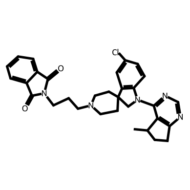 CC1CCc2ncnc(N3CC4(CCN(CCCN5C(=O)c6ccccc6C5=O)CC4)c4cc(Cl)ccc43)c21